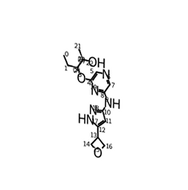 CC[C@H](Oc1cncc(Nc2cc(C3COC3)[nH]n2)n1)[C@@H](C)O